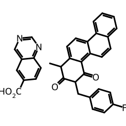 CC1C(=O)C(Cc2ccc(F)cc2)C(=O)c2c1ccc1c2ccc2ccccc21.O=C(O)c1ccc2ncncc2c1